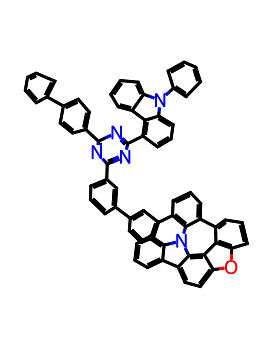 c1ccc(-c2ccc(-c3nc(-c4cccc(-c5cccc(-c6cccc7c8cccc9oc%10ccc%11c%12ccccc%12n(c67)c%11c%10c98)c5)c4)nc(-c4cccc5c4c4ccccc4n5-c4ccccc4)n3)cc2)cc1